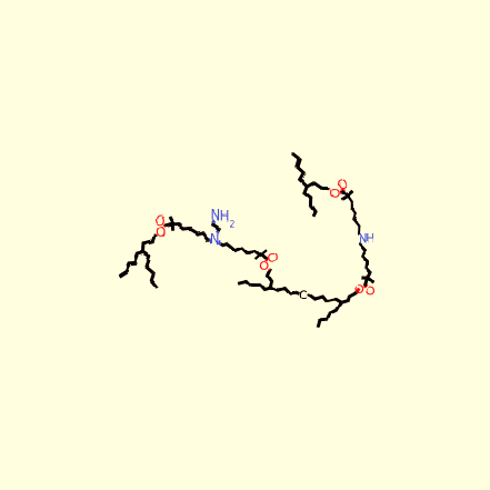 CCCCCC(CCCCC)CCCOC(=O)C(C)(C)CCCCCCNCCCCCCC(C)(C)C(=O)OCCCC(CCCCC)CCCCCCCCCCC(CCCCC)CCCOC(=O)C(C)(C)CCCCCCN(CCN)CCCCCCC(C)(C)C(=O)OCCCC(CCCCC)CCCCC